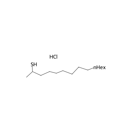 CCCCCCCCCCCCCC(C)S.Cl